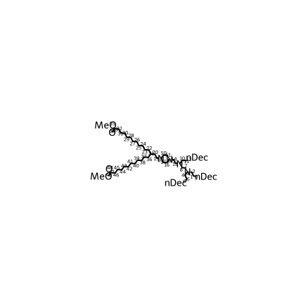 CCCCCCCCCCCCN(CCCCCCCCCCCC)CCN(CCCCCCCCCCCC)CCN1CCN(CCC(CCCCCCCCCCCC(=O)OC)CCCCCCCCCCCC(=O)OC)CC1